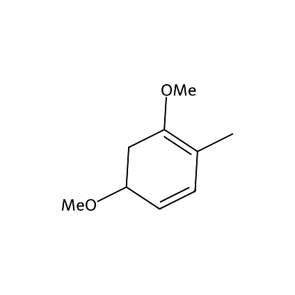 COC1=C(C)C=CC(OC)C1